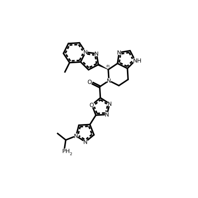 Cc1cccn2nc([C@H]3c4nc[nH]c4CCN3C(=O)c3nnc(-c4cnn(C(C)P)c4)o3)cc12